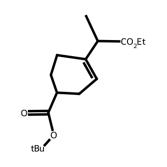 CCOC(=O)C(C)C1=CCC(C(=O)OC(C)(C)C)CC1